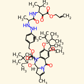 C=CCOC(=O)C(=O)[C@@H](NC(=O)[C@H](C)NNc1ccc(COC(=O)N2c3cc(O[Si](C(C)C)(C(C)C)C(C)C)c(OC)cc3C(=O)N3C=C(C)C[C@H]3[C@@H]2O[Si](C)(C)C(C)(C)C)cc1)C(C)C